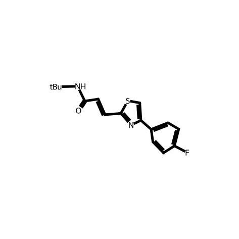 CC(C)(C)NC(=O)C=Cc1nc(-c2ccc(F)cc2)cs1